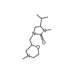 CC(C)C1CN(CC2CN(C)CCO2)C(=O)N1C